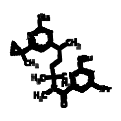 CC(C)c1cc(C(=O)N(C)C(C)(C)CCC(C)c2cc(C(C)(C)C)nc(C3(C)CC3)c2)nc(C(C)(C)C)c1